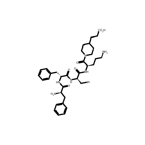 CC(C)C[C@@H](NC(=O)[C@@H](Cc1ccccc1)NC(=O)[C@H](N)Cc1ccccc1)C(=O)N[C@H](CCCN)C(=O)N1CCC(CCC(=O)O)CC1